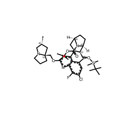 CC(C)(C)OC(=O)N1[C@@H]2CC[C@H]1[C@@H](CO[Si](C)(C)C(C)(C)C)N(c1nc(OC[C@@]34CCCN3C[C@H](F)C4)nc3c(F)c(Cl)cc(Br)c13)C2